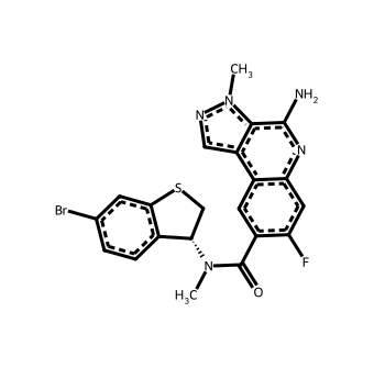 CN(C(=O)c1cc2c(cc1F)nc(N)c1c2cnn1C)[C@H]1CSc2cc(Br)ccc21